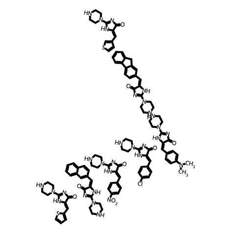 CN(C)c1ccc(C=C2NC(N3CCNCC3)=NC2=O)cc1.O=C1N=C(N2CCNCC2)NC1=Cc1ccc(Cl)cc1.O=C1N=C(N2CCNCC2)NC1=Cc1ccc([N+](=O)[O-])cc1.O=C1N=C(N2CCNCC2)NC1=Cc1ccc2c(c1)Cc1ccccc1-2.O=C1N=C(N2CCNCC2)NC1=Cc1ccc2ccccc2c1.O=C1N=C(N2CCNCC2)NC1=Cc1cccs1.O=C1N=C(N2CCNCC2)NC1=Cc1ccsc1